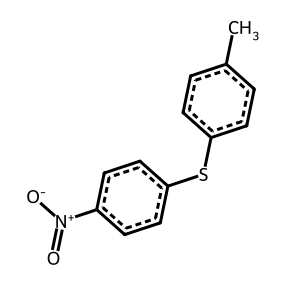 Cc1ccc(Sc2ccc([N+](=O)[O-])cc2)cc1